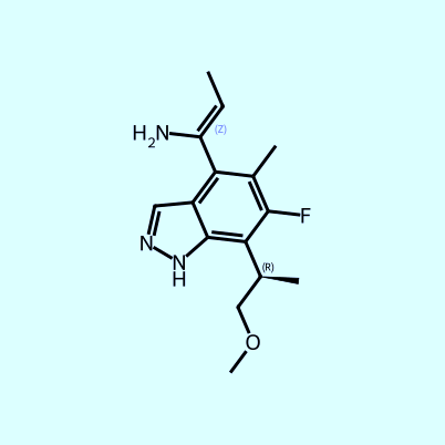 C/C=C(\N)c1c(C)c(F)c([C@@H](C)COC)c2[nH]ncc12